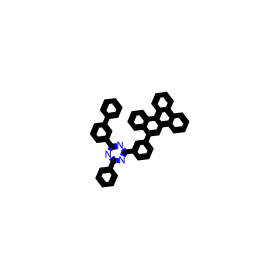 c1ccc(-c2cccc(-c3nc(-c4ccccc4)nc(-c4cccc(-c5cc6c7ccccc7c7ccccc7c6c6ccccc56)c4)n3)c2)cc1